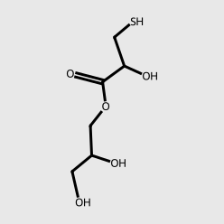 O=C(OCC(O)CO)C(O)CS